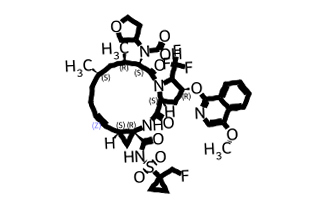 COc1cnc(O[C@@H]2C[C@H]3C(=O)N[C@]4(C(=O)NS(=O)(=O)C5(CF)CC5)C[C@H]4/C=C\CC[C@H](C)C[C@@H](C)[C@H](N(C(=O)O)C4CCOC4)C(=O)N3C2C(F)(F)F)c2ccccc12